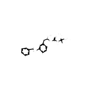 C[C@H](Cc1cccc(OCc2ccccc2)c1)OC(=O)NC(C)(C)C